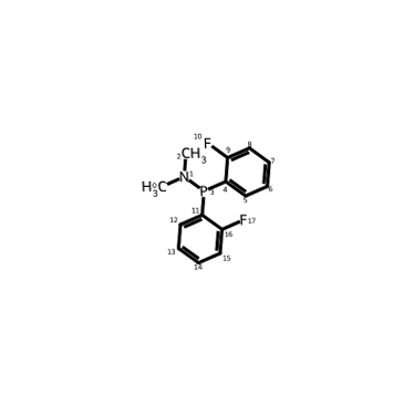 CN(C)P(c1ccccc1F)c1ccccc1F